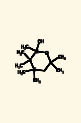 CC1(C)C[Si](C)(C)[Si](C)(C)[Si](C)(O)O1